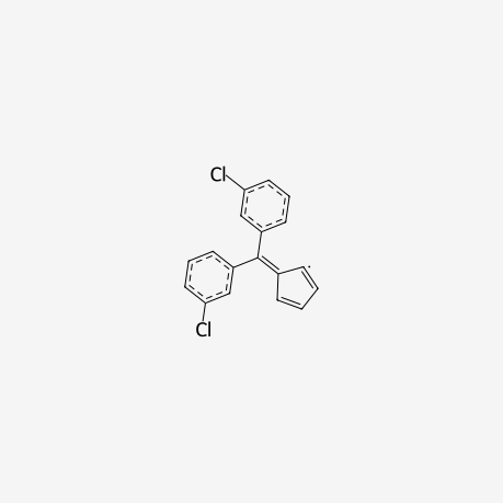 Clc1cccc(C(=C2[C]=CC=C2)c2cccc(Cl)c2)c1